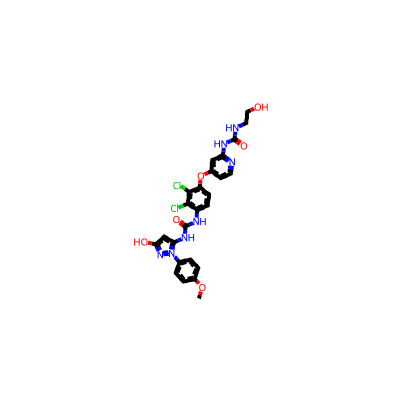 COc1ccc(-n2nc(O)cc2NC(=O)Nc2ccc(Oc3ccnc(NC(=O)NCCO)c3)c(Cl)c2Cl)cc1